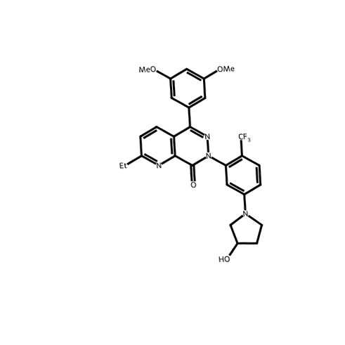 CCc1ccc2c(-c3cc(OC)cc(OC)c3)nn(-c3cc(N4CCC(O)C4)ccc3C(F)(F)F)c(=O)c2n1